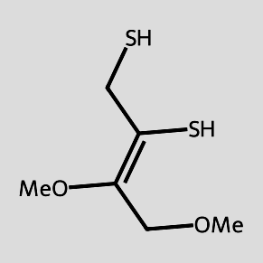 COCC(OC)=C(S)CS